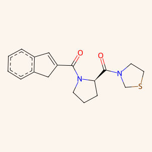 O=C([C@H]1CCCN1C(=O)C1=Cc2ccccc2C1)N1CCSC1